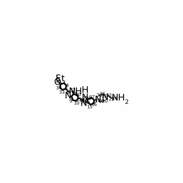 CCOc1ccc(-c2nc3ccc(-c4nc5ccc(N6CCN(CCN)CC6)cc5[nH]4)cc3[nH]2)cc1